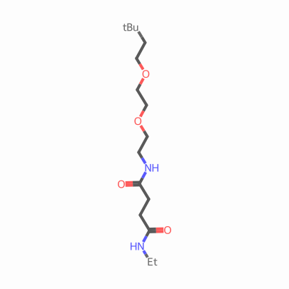 CCNC(=O)CCC(=O)NCCOCCOCCC(C)(C)C